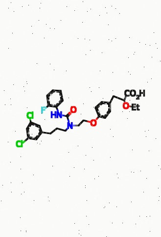 CCOC(Cc1ccc(OCCN(CCCc2cc(Cl)cc(Cl)c2)C(=O)Nc2ccccc2F)cc1)C(=O)O